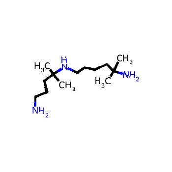 CC(C)(N)CCCCNC(C)(C)CCCN